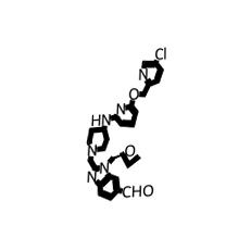 O=Cc1ccc2nc(CN3CCC(Nc4cccc(OCc5ccc(Cl)cn5)n4)CC3)n(C[C@@H]3CCO3)c2c1